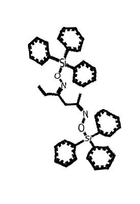 CCC(CC(C)=NO[Si](c1ccccc1)(c1ccccc1)c1ccccc1)=NO[Si](c1ccccc1)(c1ccccc1)c1ccccc1